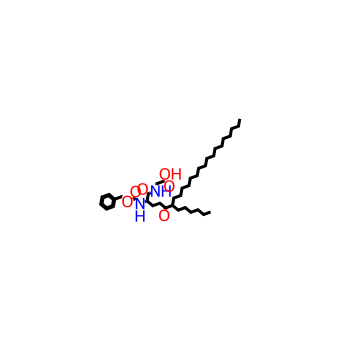 CCCCCCCCCCCCCCCCCC(CCCCCC)C(=O)CCC(NC(=O)OCc1ccccc1)C(=O)NCC(=O)O